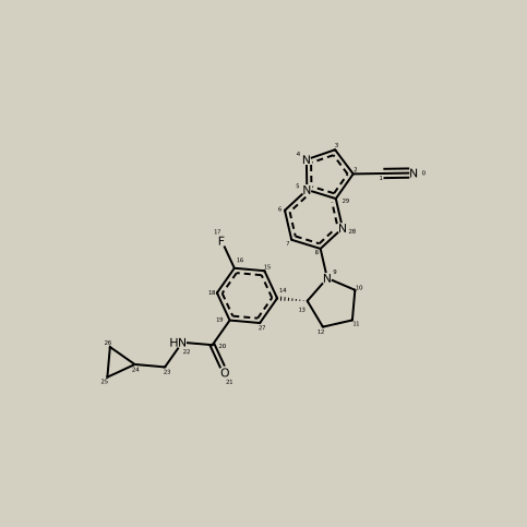 N#Cc1cnn2ccc(N3CCC[C@@H]3c3cc(F)cc(C(=O)NCC4CC4)c3)nc12